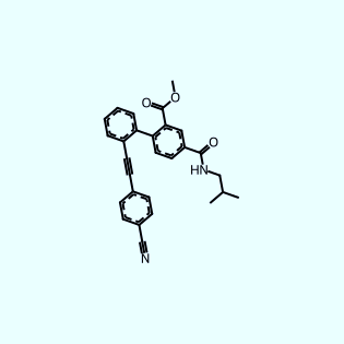 COC(=O)c1cc(C(=O)NCC(C)C)ccc1-c1ccccc1C#Cc1ccc(C#N)cc1